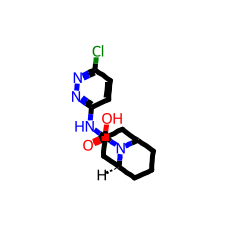 O=C(O)N1C2CCC[C@H]1CC(Nc1ccc(Cl)nn1)C2